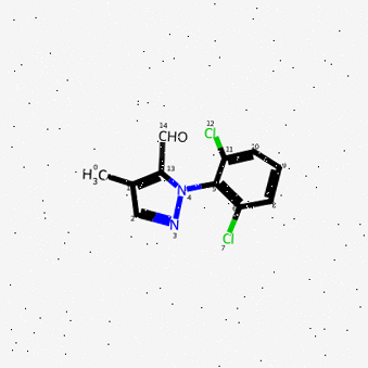 Cc1cnn(-c2c(Cl)cccc2Cl)c1C=O